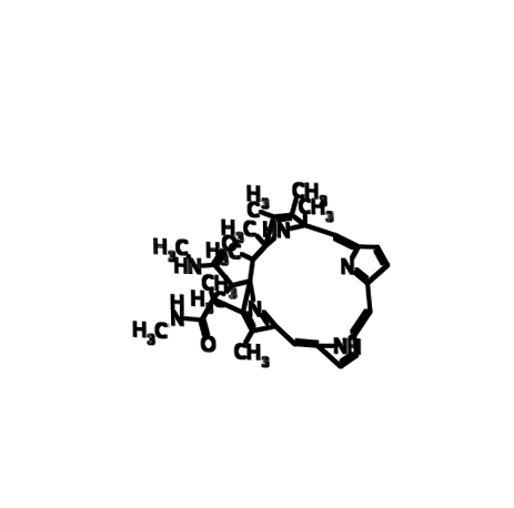 CNC(=O)C(C)C1=C(C)C2=NC1(C(C)C(=O)NC)C(C)C1(C)NC(C)(/C=C3/C=CC(=N3)/C=c3/cc/c([nH]3)=C/2)C(C)=C1C